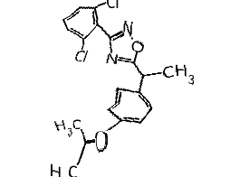 CC(C)Oc1ccc(C(C)c2nc(-c3c(Cl)cccc3Cl)no2)cc1